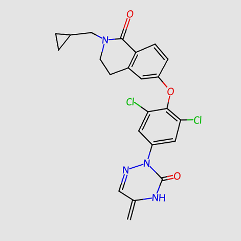 C=C1C=NN(c2cc(Cl)c(Oc3ccc4c(c3)CCN(CC3CC3)C4=O)c(Cl)c2)C(=O)N1